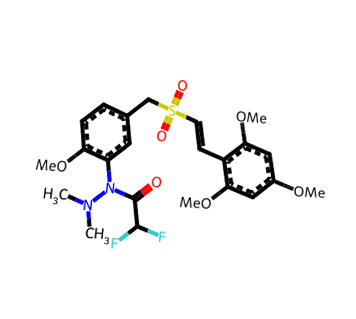 COc1cc(OC)c(C=CS(=O)(=O)Cc2ccc(OC)c(N(C(=O)C(F)F)N(C)C)c2)c(OC)c1